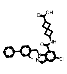 O=C(NC1CC2(C1)CC(C(=O)O)C2)c1cc(Cl)cc2cnn(Cc3ccc(-c4ccccc4)cc3F)c12